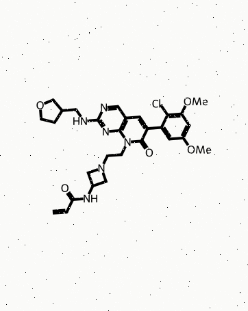 C=CC(=O)NC1CN(CCn2c(=O)c(-c3cc(OC)cc(OC)c3Cl)cc3cnc(NCC4CCOC4)nc32)C1